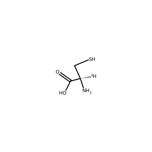 [2H][C@@](N)(CS)C(=O)O